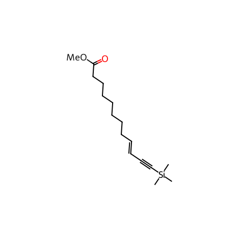 COC(=O)CCCCCCC/C=C/C#C[Si](C)(C)C